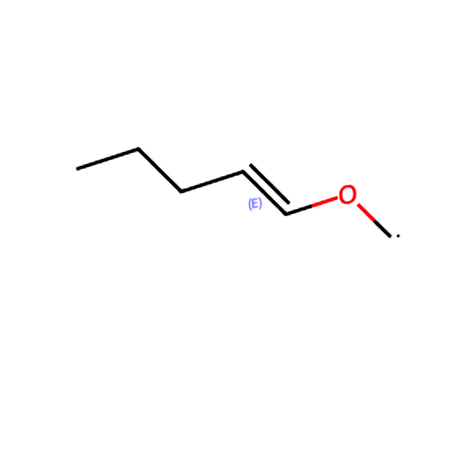 [CH2]O/C=C/CCC